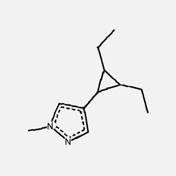 CCC1C(CC)C1c1cnn(C)c1